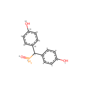 O=[PH2]C(c1ccc(O)cc1)c1ccc(O)cc1